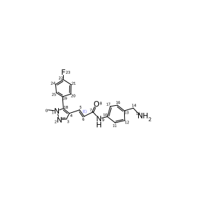 Cn1ncc(/C=C/C(=O)Nc2ccc(CN)cc2)c1-c1ccc(F)cc1